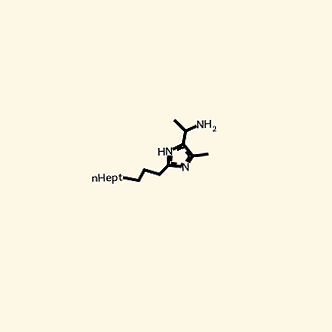 CCCCCCCCCCc1nc(C)c(C(C)N)[nH]1